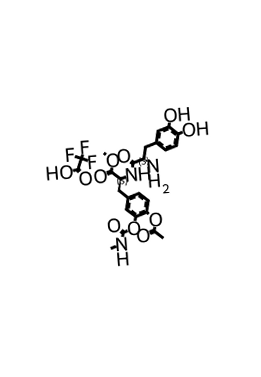 CNC(=O)Oc1cc(C[C@H](NC(=O)[C@@H](N)Cc2ccc(O)c(O)c2)C(=O)OC)ccc1OC(C)=O.O=C(O)C(F)(F)F